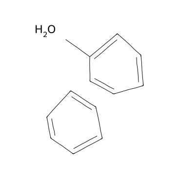 Cc1ccccc1.O.c1ccccc1